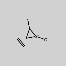 C=C.CC1C[S+]1[O-]